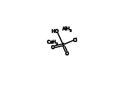 O=S(=O)(O)Cl.[AlH3].[CaH2]